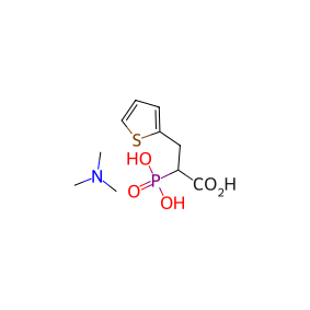 CN(C)C.O=C(O)C(Cc1cccs1)P(=O)(O)O